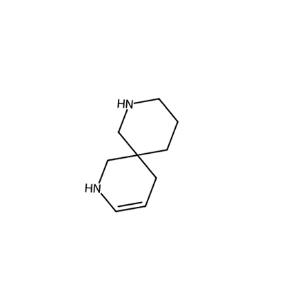 C1=CNCC2(C1)CCCNC2